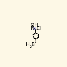 BCc1ccc(/C(Cl)=N/O)cc1